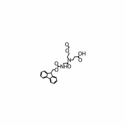 O=COCCN(CCC(=O)O)C(=O)CNC(=O)OCC1c2ccccc2-c2ccccc21